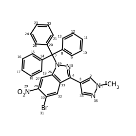 Cn1cc(-c2nn(C(c3ccccc3)(c3ccccc3)c3ccccc3)c3cc([N+](=O)[O-])c(Br)cc23)cn1